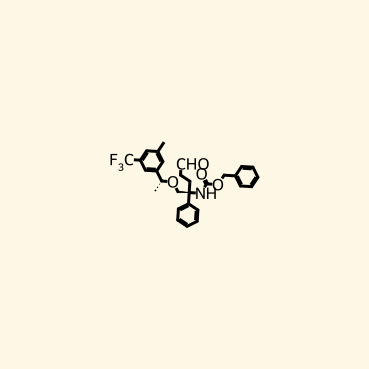 Cc1cc([C@@H](C)OC[C@@](CCC=O)(NC(=O)OCc2ccccc2)c2ccccc2)cc(C(F)(F)F)c1